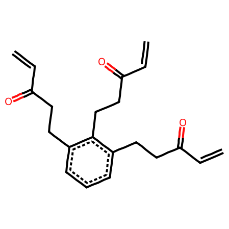 C=CC(=O)CCc1cccc(CCC(=O)C=C)c1CCC(=O)C=C